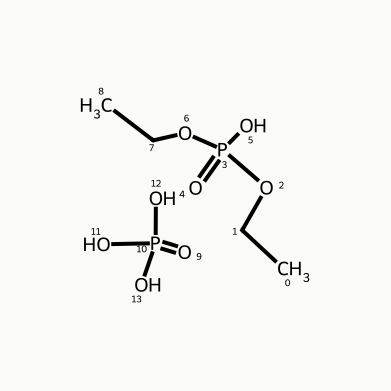 CCOP(=O)(O)OCC.O=P(O)(O)O